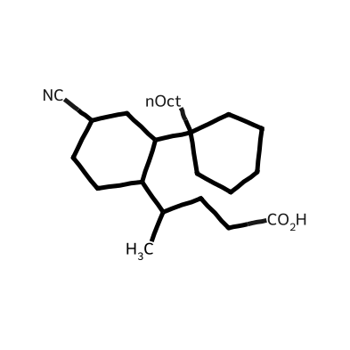 CCCCCCCCC1(C2CC(C#N)CCC2C(C)CCC(=O)O)CCCCC1